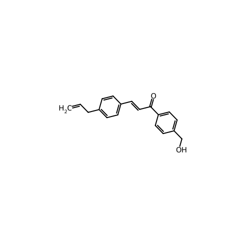 C=CCc1ccc(/C=C/C(=O)c2ccc(CO)cc2)cc1